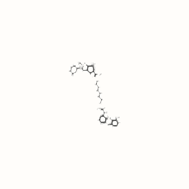 CCN(Cc1cc(C(=O)OCCCCCCCCOC(=O)Cc2ccccc2Nc2c(Cl)cccc2Cl)cc(Br)c1N)C1CCCCC1